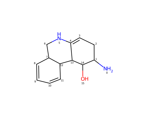 NC1CC=C2NCC3C=CC=CC3C2C1O